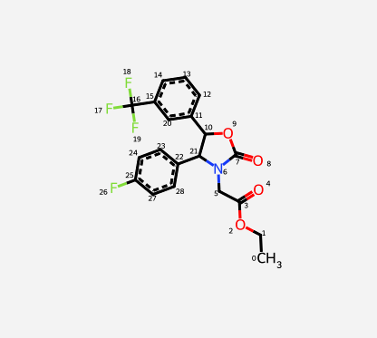 CCOC(=O)CN1C(=O)OC(c2cccc(C(F)(F)F)c2)C1c1ccc(F)cc1